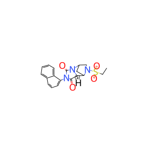 CCS(=O)(=O)N1CC2CC1[C@H]1C(=O)N(c3cccc4ccccc34)C(=O)N21